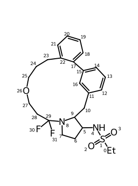 CCS(=O)(=O)NC1CCN2C1Cc1cccc(c1)-c1ccccc1CCCOCCC2(F)F